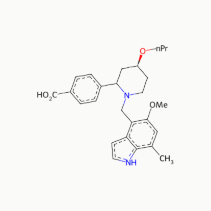 CCCO[C@H]1CCN(Cc2c(OC)cc(C)c3[nH]ccc23)C(c2ccc(C(=O)O)cc2)C1